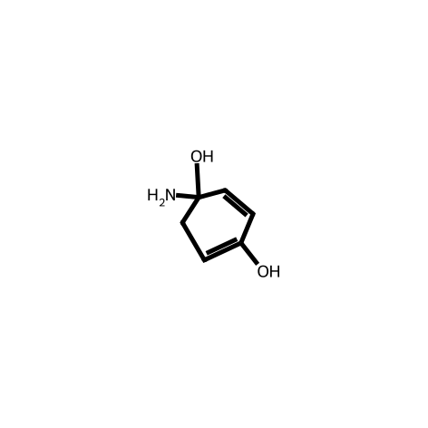 NC1(O)C=CC(O)=CC1